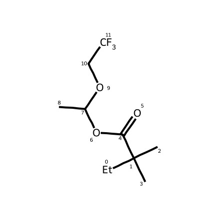 CCC(C)(C)C(=O)OC(C)OCC(F)(F)F